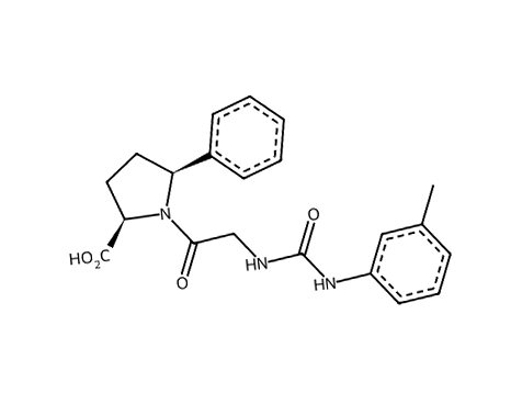 Cc1cccc(NC(=O)NCC(=O)N2[C@@H](C(=O)O)CC[C@H]2c2ccccc2)c1